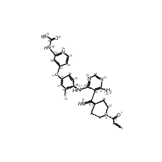 C=CC(=O)N1CCC(C(=N)c2c(N)ncnc2Nc2ccc(Oc3ccnc(NC(=O)C(C)(C)C)c3)cc2F)CC1